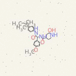 CC[Si](C)(C)c1ccc(NC(=O)C(NC(=O)C2CCNC(O)C2)c2ccc(OC)cc2)cc1